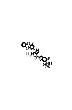 Cc1cc(-n2ncc(C(=O)c3cc4cc(F)c(NS(C)(=O)=O)cc4[nH]3)c2N)cnc1Oc1ccccc1Cl